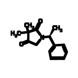 C[C@H](c1ccccc1)N1CC(=O)C(C)(C)C1=O